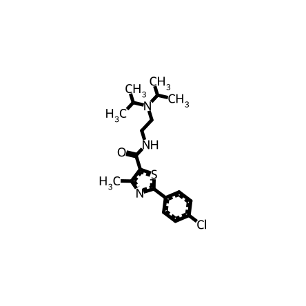 Cc1nc(-c2ccc(Cl)cc2)sc1C(=O)NCCN(C(C)C)C(C)C